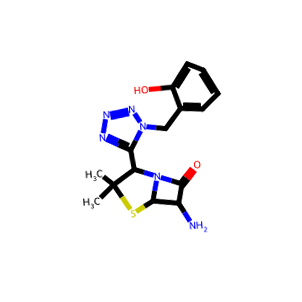 CC1(C)SC2C(N)C(=O)N2C1c1nnnn1Cc1ccccc1O